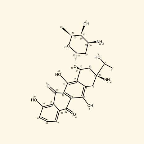 CC(O)[C@]1(N)Cc2c(O)c3c(c(O)c2[C@@H](O[C@H]2C[C@H](N)[C@H](O)[C@H](C)O2)C1)C(=O)c1c(O)cccc1C3=O